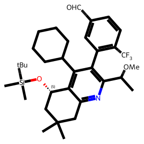 COC(C)c1nc2c(c(C3CCCCC3)c1-c1cc(C=O)ccc1C(F)(F)F)[C@@H](O[Si](C)(C)C(C)(C)C)CC(C)(C)C2